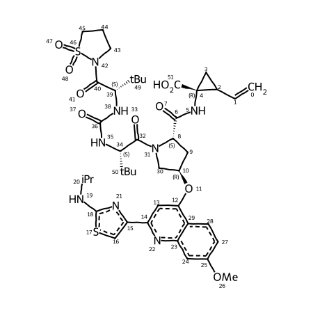 C=CC1C[C@]1(NC(=O)[C@@H]1C[C@@H](Oc2cc(-c3csc(NC(C)C)n3)nc3cc(OC)ccc23)CN1C(=O)[C@@H](NC(=O)N[C@H](C(=O)N1CCCS1(=O)=O)C(C)(C)C)C(C)(C)C)C(=O)O